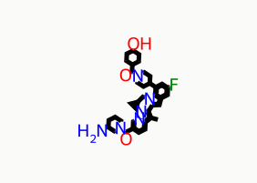 Cc1c(-c2cc3cc(F)cc(C4CCN(C(=O)C5CCC(O)CC5)CC4)c3n2CC2CC2)nn2cc(C(=O)N3CCC[C@@H](N)C3)ccc12